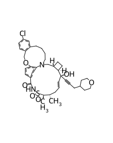 C[C@@H]1[C@@H](C)C/C=C/[C@@](O)(C#CCC2CCOCC2)[C@@H]2CC[C@H]2CN2CCCCc3cc(Cl)ccc3COc3ccc(cc32)C(=O)NS1(=O)=O